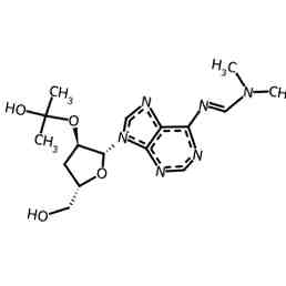 CN(C)/C=N/c1ncnc2c1ncn2[C@@H]1O[C@H](CO)C[C@H]1OC(C)(C)O